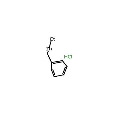 C[CH2][Zn][CH2]c1ccccc1.Cl